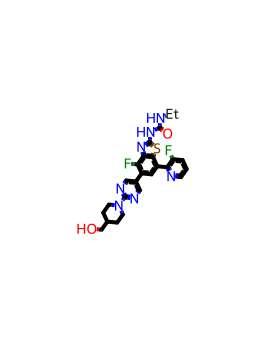 CCNC(=O)Nc1nc2c(F)c(-c3cnc(N4CCC(CO)CC4)nc3)cc(-c3ncccc3F)c2s1